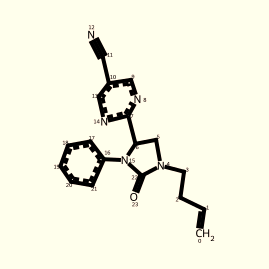 C=CCCN1CC(c2ncc(C#N)cn2)N(c2ccccc2)C1=O